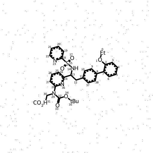 CCOc1ccccc1-c1ccc(CC(NS(=O)(=O)c2ccccn2)c2cccc(N(CC(=O)O)C(=O)OC(C)(C)C)n2)cc1